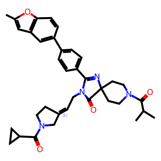 Cc1cc2cc(-c3ccc(C4=NC5(CCN(C(=O)C(C)C)CC5)C(=O)N4C/C=C4\CCN(C(=O)C5CC5)C4)cc3)ccc2o1